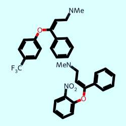 CNCC=C(Oc1ccc(C(F)(F)F)cc1)c1ccccc1.CNCC=C(Oc1ccccc1[N+](=O)[O-])c1ccccc1